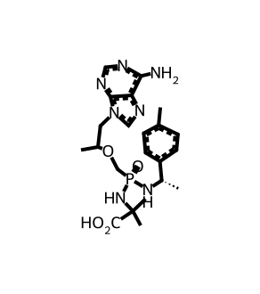 Cc1ccc([C@H](C)NP(=O)(COC(C)Cn2cnc3c(N)ncnc32)NC(C)(C)C(=O)O)cc1